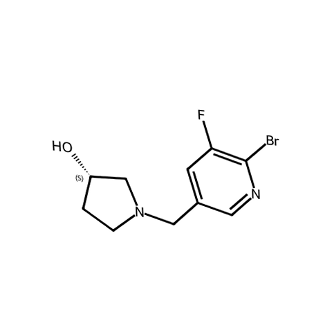 O[C@H]1CCN(Cc2cnc(Br)c(F)c2)C1